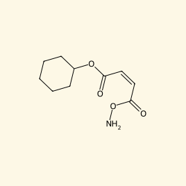 NOC(=O)/C=C\C(=O)OC1CCCCC1